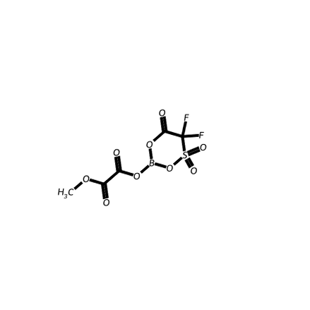 COC(=O)C(=O)OB1OC(=O)C(F)(F)S(=O)(=O)O1